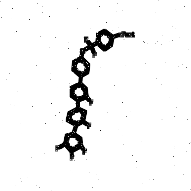 CCCCCc1ccc(C(F)(F)Oc2ccc(-c3ccc(-c4ccc(-c5cc(F)c(F)c(F)c5)c(F)c4)c(F)c3)cc2)cc1